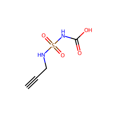 C#CCNS(=O)(=O)NC(=O)O